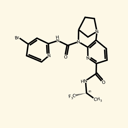 C[C@@H](NC(=O)c1ccc2c(n1)N(C(=O)Nc1cc(Br)ccn1)C1CCN2C1)C(F)(F)F